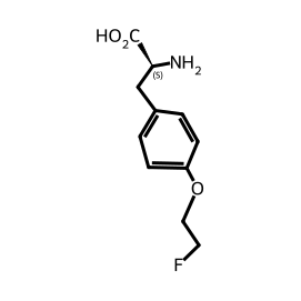 N[C@@H](Cc1ccc(OCCF)cc1)C(=O)O